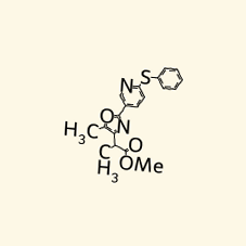 COC(=O)C(C)c1nc(-c2ccc(Sc3ccccc3)nc2)oc1C